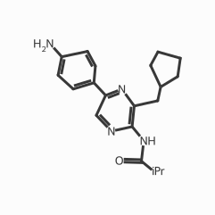 CC(C)C(=O)Nc1ncc(-c2ccc(N)cc2)nc1CC1CCCC1